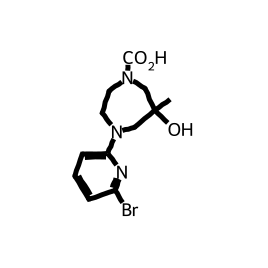 CC1(O)CN(C(=O)O)CCN(c2cccc(Br)n2)C1